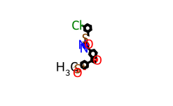 C[S+]([O-])c1ccc(-c2coc3ccc(-c4nnc(SCc5cccc(Cl)c5)o4)cc23)cc1